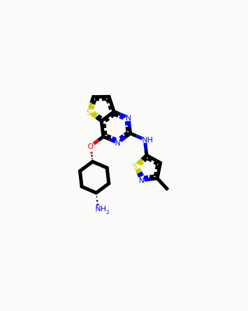 Cc1cc(Nc2nc(O[C@H]3CC[C@@H](N)CC3)c3sccc3n2)sn1